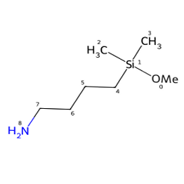 CO[Si](C)(C)CCCCN